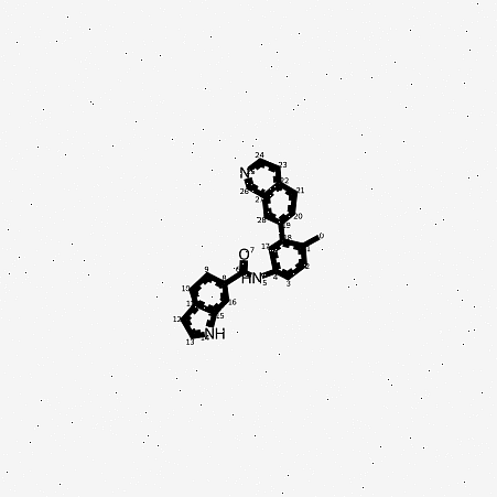 Cc1ccc(NC(=O)c2ccc3cc[nH]c3c2)cc1-c1ccc2ccncc2c1